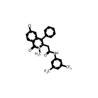 Cn1c(CC(=O)Nc2cc(C(F)(F)F)cc(C(F)(F)F)c2)c(-c2ccccc2)c2cc(Cl)ccc2c1=O